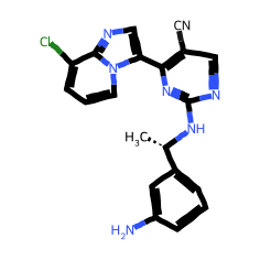 C[C@H](Nc1ncc(C#N)c(-c2cnc3c(Cl)cccn23)n1)c1cccc(N)c1